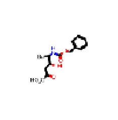 CCC(C)C(NC(=O)OCc1ccccc1)C(O)CC(=O)C(=O)O